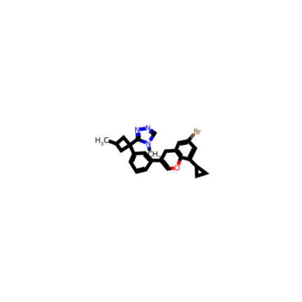 CC1CC(c2cccc(C3=COc4c(cc(Br)cc4C4CC4)C3)c2)(c2nncn2C)C1